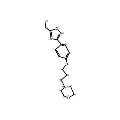 CCc1nc(-c2ccc(OCCCN3CCOCC3)cc2)no1